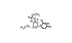 COC[C@H]1O[C@@H](n2ccc(=O)[nH]c2=O)[C@@H](F)C1OP(=O)(O)OC